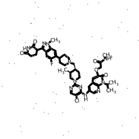 CNC(=O)COc1cc2cc(Nc3nc(N4CC[C@H](CN5CCC(c6cc7c(cc6F)c(C6CCC(=O)NC6=O)nn7C)CC5)[C@H](C)C4)ncc3Cl)cnc2n(C(C)C)c1=O